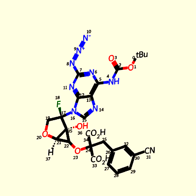 CC(C)(C)OC(=O)Nc1nc(N=[N+]=[N-])nc2c1ncn2[C@@]1(F)CO[C@@H]2C(OC(Cc3cccc(C#N)c3)(C(=O)O)C(=O)O)[C@@]21O